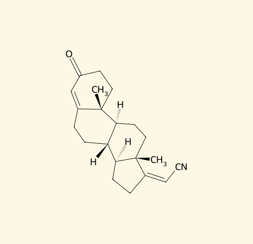 C[C@]12CCC(=O)C=C1CC[C@@H]1[C@@H]2CC[C@]2(C)/C(=C\C#N)CC[C@@H]12